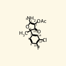 CC(=O)OC1=C(N)OC(C)(c2ccc(F)c(Cl)c2)C1=O